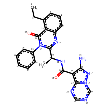 CCc1cccc2nc([C@H](C)NC(=O)c3c(N)nn4cncnc34)n(-c3ccccc3)c(=O)c12